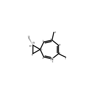 CC1=CC2(C=NC(C)=C1)C[C@@H]2C